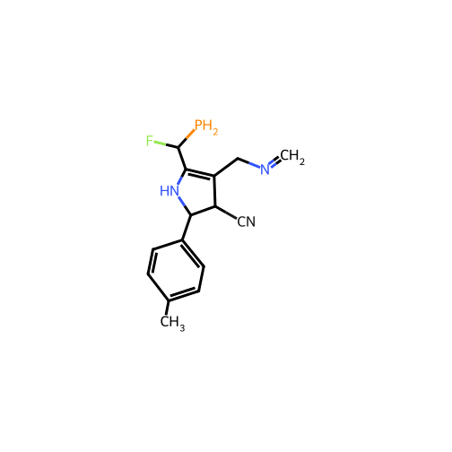 C=NCC1=C(C(F)P)NC(c2ccc(C)cc2)C1C#N